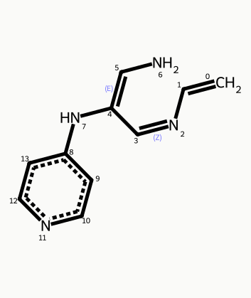 C=C/N=C\C(=C/N)Nc1ccncc1